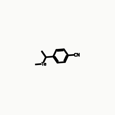 C[Te]C(C)c1ccc(C#N)cc1